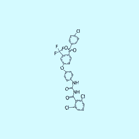 O=C(NC(=O)c1c(Cl)cccc1Cl)Nc1ccc(Oc2ccc(S(=O)(=O)c3ccc(Cl)cc3)c(C(F)(F)F)c2)cc1